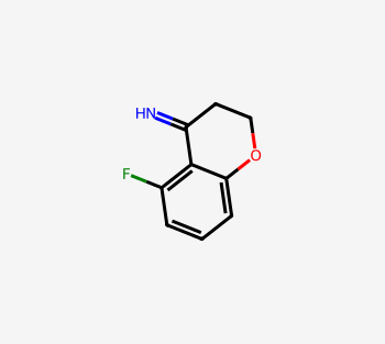 N=C1CCOc2cccc(F)c21